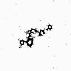 COc1cc(F)cc(-c2cccc3[nH]c(-c4n[nH]c5ccc(-c6cncc(OCc7ccccc7)c6)nc45)nc23)c1